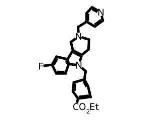 CCOC(=O)c1ccc(Cn2c3c(c4cc(F)ccc42)CN(Cc2ccncc2)CC3)cc1